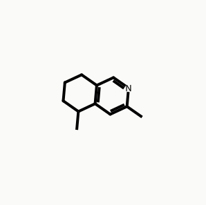 Cc1cc2c(cn1)CCCC2C